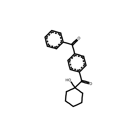 O=C(c1ccccc1)c1ccc(C(=O)C2(O)CCCCC2)cc1